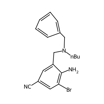 CCCCN(Cc1ccccc1)Cc1cc(C#N)cc(Br)c1N